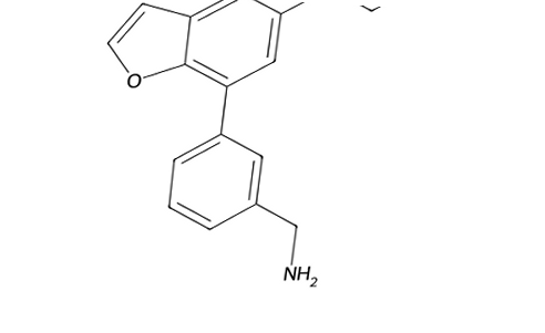 CCCc1cc(-c2cccc(CN)c2)c2occc2c1